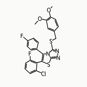 COc1ccc(CSc2nnc3sc(-c4c(F)cccc4Cl)c(-c4ccc(F)cc4)n23)cc1OC